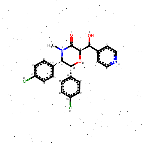 CN1C(=O)[C@@H](C(O)c2ccncc2)O[C@H](c2ccc(Cl)cc2)[C@@H]1c1ccc(Cl)cc1